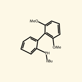 CCCCPc1ccccc1-c1c(OC)cccc1OC